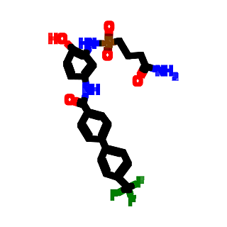 NC(=O)CCCS(=O)(=O)Nc1cc(NC(=O)c2ccc(-c3ccc(C(F)(F)F)cc3)cc2)ccc1O